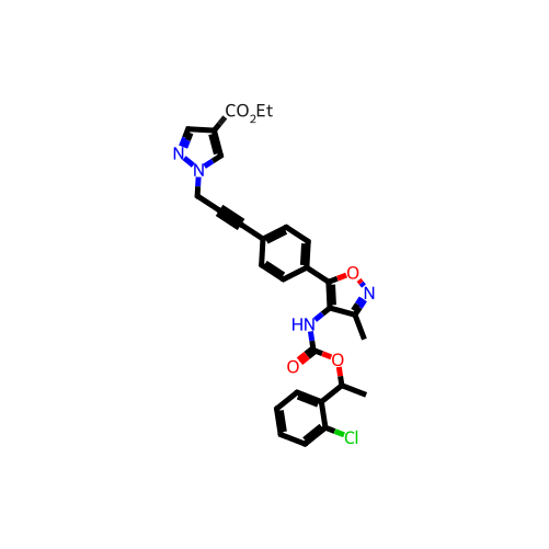 CCOC(=O)c1cnn(CC#Cc2ccc(-c3onc(C)c3NC(=O)OC(C)c3ccccc3Cl)cc2)c1